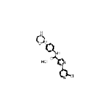 Cl.O=C(Nc1ccc([C@H]2CNCCO2)cc1)c1cnn(-c2ccnc(Cl)c2)c1